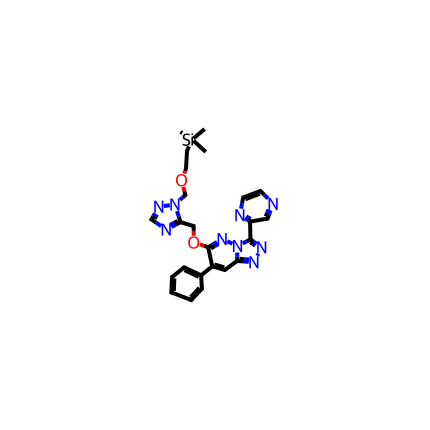 C[Si](C)(C)CCOCn1ncnc1COc1nn2c(-c3cnccn3)nnc2cc1-c1ccccc1